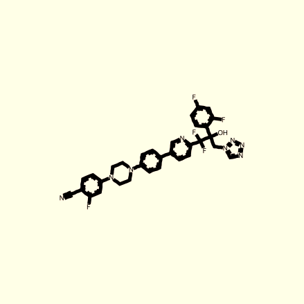 N#Cc1ccc(N2CCN(c3ccc(-c4ccc(C(F)(F)C(O)(Cn5cnnn5)c5ccc(F)cc5F)nc4)cc3)CC2)cc1F